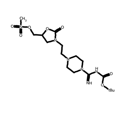 CC(C)(C)OC(=O)NC(=N)N1CCN(CCN2CC(COS(C)(=O)=O)OC2=O)CC1